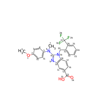 COc1ccc(N(C)c2nc3cc(C(=O)O)ccc3n2Cc2ccccc2C(F)(F)F)cc1